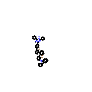 CN1C(C2=CC=CCC2)NC(c2ccccc2)=NC1c1ccc2c(c1)sc1c(-c3cccc4sc5c(-n6c7ccccc7c7ccccc76)cccc5c34)cccc12